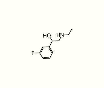 CCNCC(O)c1cccc(F)c1